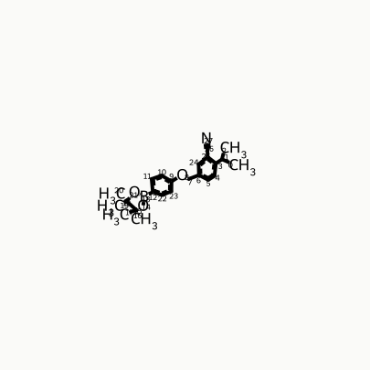 CC(C)c1ccc(COc2ccc(B3OC(C)(C)C(C)(C)O3)cc2)cc1C#N